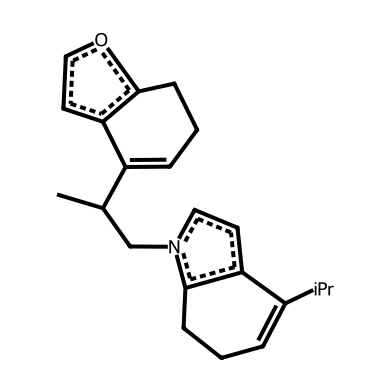 CC(C)C1=CCCc2c1ccn2CC(C)C1=CCCc2occc21